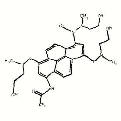 CN(CCO)Sc1cc(NC(=O)C(F)(F)F)c2ccc3c(SN(C)CCO)cc([S+]([O-])N(C)CCO)c4ccc1c2c34